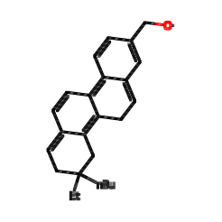 CCCCC1(CC)CC=c2ccc3c(c2C1)CC=c1cc(C[O])ccc1=3